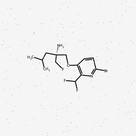 CC(C)C[C@](N)(CF)COc1ccc(Br)nc1C(F)F